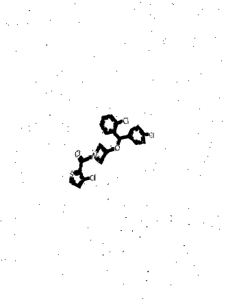 O=C(c1sccc1Cl)N1CC(OC(c2ccc(Cl)cc2)c2ccccc2Cl)C1